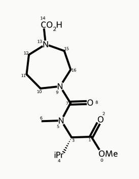 COC(=O)[C@H](C(C)C)N(C)C(=O)N1CCCN(C(=O)O)CC1